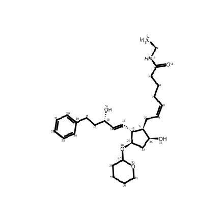 CCNC(=O)CCC/C=C\C[C@@H]1[C@@H](/C=C/[C@@H](O)CCc2ccccc2)[C@H](OC2CCCCO2)C[C@@H]1O